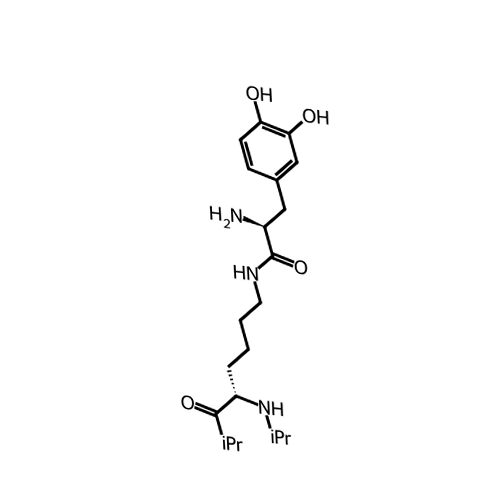 CC(C)N[C@@H](CCCCNC(=O)[C@@H](N)Cc1ccc(O)c(O)c1)C(=O)C(C)C